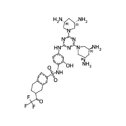 N[C@@H]1C[C@H](N)CN(c2nc(Nc3ccc(NS(=O)(=O)c4ccc5c(c4)CC(C(=O)C(F)(F)F)CC5)c(O)c3)nc(N3C[C@H](N)C[C@H](N)C3)n2)C1